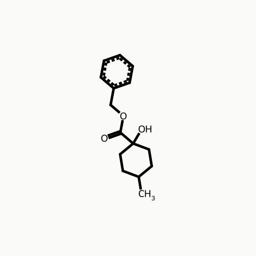 CC1CCC(O)(C(=O)OCc2ccccc2)CC1